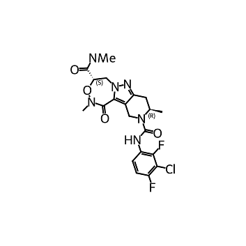 CNC(=O)[C@@H]1Cn2nc3c(c2C(=O)N(C)O1)CN(C(=O)Nc1ccc(F)c(Cl)c1F)[C@H](C)C3